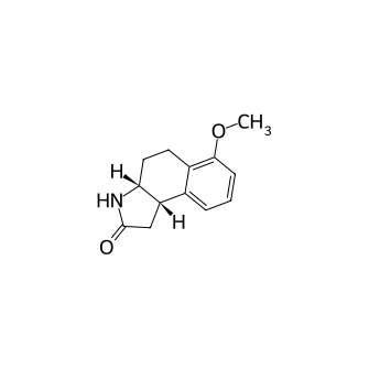 COc1cccc2c1CC[C@H]1NC(=O)C[C@@H]21